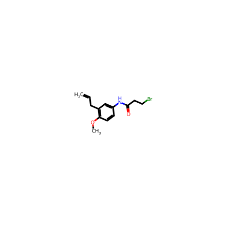 C=CCc1cc(NC(=O)CCBr)ccc1OC